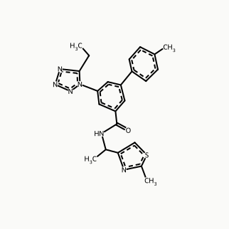 CCc1nnnn1-c1cc(C(=O)NC(C)c2csc(C)n2)cc(-c2ccc(C)cc2)c1